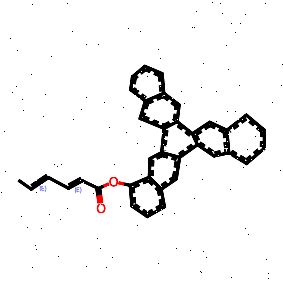 C/C=C/C=C/C(=O)Oc1cccc2cc3c4cc5ccccc5cc4c4cc5ccccc5cc4c3cc12